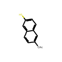 CC(=O)Oc1ccc2cc(S)ccc2c1